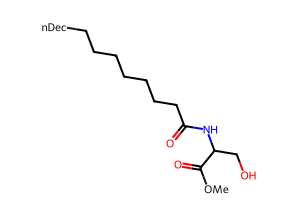 CCCCCCCCCCCCCCCCCC(=O)NC(CO)C(=O)OC